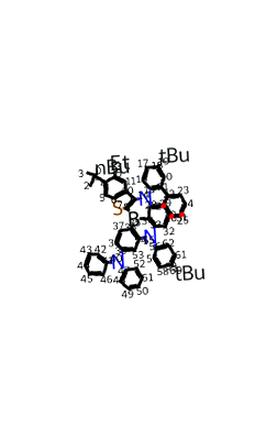 CCCCC(C)(C)c1cc2sc3c(c2cc1CC)N(c1ccc(C(C)(C)C)cc1-c1ccccc1)c1cc(C)cc2c1B3c1ccc(N(c3ccccc3)c3ccccc3)cc1N2c1ccc(C(C)(C)C)cc1